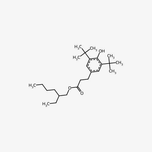 CCCCC(CC)COC(=O)CCc1cc(C(C)(C)C)c(O)c(C(C)(C)C)c1